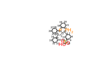 CC(CC(C(P)c1cccc(S(=O)(=O)O)c1)P(c1ccccc1)c1ccccc1)c1ccccc1